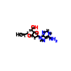 C#CCOC1C[C@H](n2cnc3c(N)ncnc32)O[C@@H]1CO